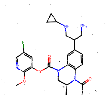 COc1ncc(F)cc1OC(=O)N1C[C@H](C)N(C(C)=O)c2ccc(C(CN)CNC3CC3)cc21